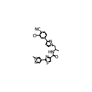 CC(Cn1ccc(-c2ccc(C#N)c(Cl)c2)n1)NC(=O)c1csc(-c2cnn(C)c2)n1